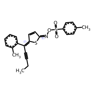 CCC#C/C(=C1C=C/C(=N\OS(=O)(=O)c2ccc(C)cc2)S/1)c1ccccc1C